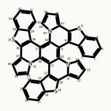 c1ccc2c(c1)sc1c2c2c3c(c4c5ccccc5sc4c4cccn43)c3c(c4c5ccccc5sc4c4cccn43)c2n2cccc12